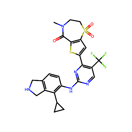 CN1CCS(=O)(=O)c2cc(-c3nc(Nc4ccc5c(c4C4CC4)CNC5)ncc3C(F)(F)F)sc2C1=O